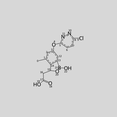 Cc1cc(Oc2ccc(Cl)nn2)cc2c1C(CC(=O)O)OB2O